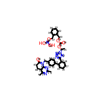 Cc1nc(C)c2c(n1)N(Cc1ccc(-c3ccccc3-c3nnn(C(C)OC(=O)OCc4ccccc4CON(O)O)n3)cc1)C(=O)CC2